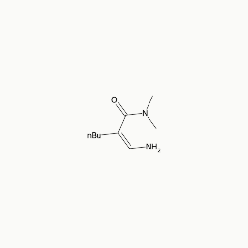 CCCCC(=CN)C(=O)N(C)C